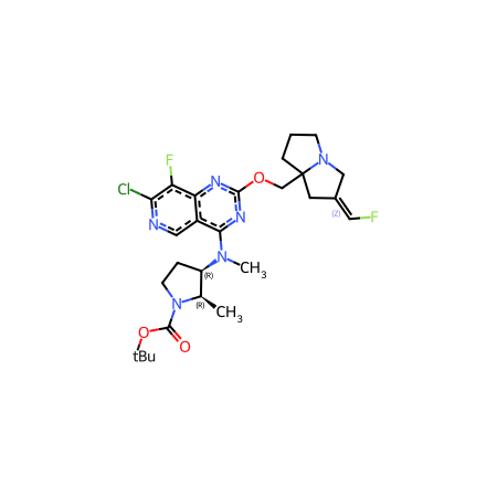 C[C@@H]1[C@H](N(C)c2nc(OCC34CCCN3C/C(=C\F)C4)nc3c(F)c(Cl)ncc23)CCN1C(=O)OC(C)(C)C